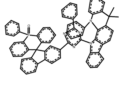 CC1(C)c2ccccc2N(c2ccccc2)c2c1ccc1c3ccccc3n(-c3nc(-c4ccccc4)nc(-c4ccc5c(c4)C4(c6ccccc6-5)c5ccccc5P(=O)(c5ccccc5)c5ccccc54)n3)c21